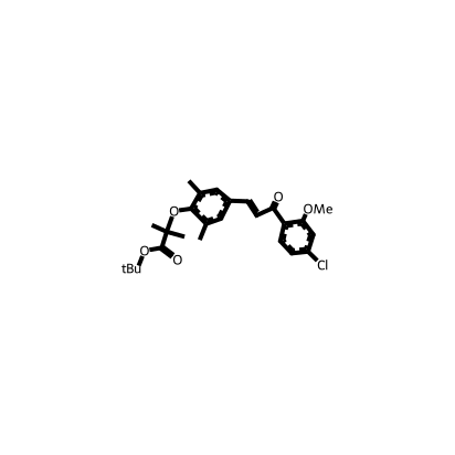 COc1cc(Cl)ccc1C(=O)/C=C/c1cc(C)c(OC(C)(C)C(=O)OC(C)(C)C)c(C)c1